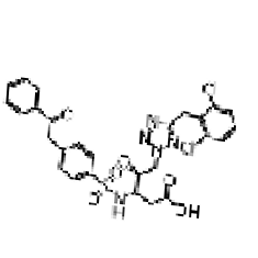 O=C(O)CC(NS(=O)(=O)c1ccc(CC(=O)c2ccccc2)cc1)C(=O)Cn1nnc(Cc2c(Cl)cccc2Cl)n1